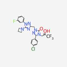 O=c1n(Cc2nc(N3CCC3)n(-c3cccc(F)c3)n2)nc(-c2ccc(Cl)cc2)n1C[C@H](O)C(F)(F)F